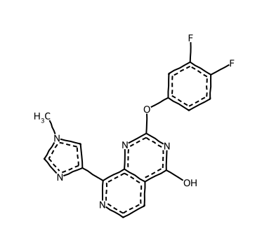 Cn1cnc(-c2nccc3c(O)nc(Oc4ccc(F)c(F)c4)nc23)c1